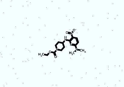 CCOC(=O)N1CCC(Nc2nc(N(C)C)ccc2[N+](=O)[O-])CC1